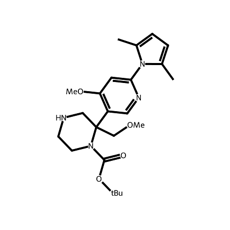 COCC1(c2cnc(-n3c(C)ccc3C)cc2OC)CNCCN1C(=O)OC(C)(C)C